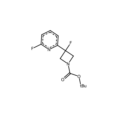 CC(C)(C)OC(=O)N1CC(F)(c2cccc(F)n2)C1